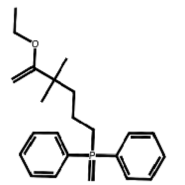 C=C(OCC)C(C)(C)CCCP(=C)(c1ccccc1)c1ccccc1